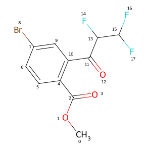 COC(=O)c1ccc(Br)cc1C(=O)C(F)C(F)F